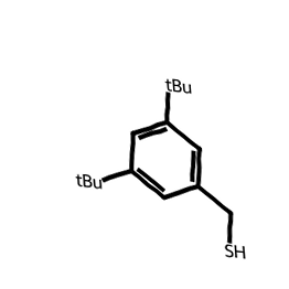 CC(C)(C)c1cc(CS)cc(C(C)(C)C)c1